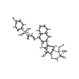 CC[C@@]1(O)C(=O)OCc2c1cc1n(c2=O)Cc2c-1nc1ccccc1c2C=NNS(=O)(=O)c1ccc(C)cc1